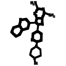 CCN1CCN(c2ccc(-c3sc4c(N)nc(N)nc4c3-c3cnc4ccccc4c3)cn2)CC1